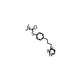 CN(C)C(=O)Sc1ccc(CCCn2ccnn2)cc1